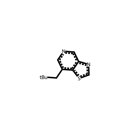 CC(C)(C)Cc1cncc2ncsc12